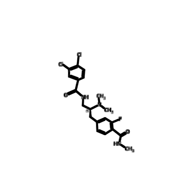 CNC(=O)c1ccc(C[C@@H](CNC(=O)c2ccc(Cl)c(Cl)c2)N(C)C)cc1F